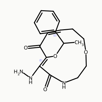 CC(O/C1=C(/NN)C(=O)NCCOCC/C=C\C1=O)c1ccccc1